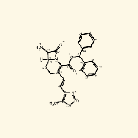 Cc1snnc1C=CC1=C(C(=O)OC(c2ccccc2)c2ccccc2)N2C(=O)C(N)[C@H]2SC1